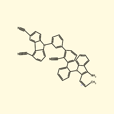 C/C=C\c1c(N)c2ccccc2n1-c1ccccc1-c1cccc(-c2cccc(-n3c4ccc(C#N)cc4c4c(C#N)cccc43)c2)c1C#N